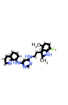 Cc1[nH]c2c(F)ccc(C)c2c1CCNc1cc(Nc2cccc3cccnc23)ncn1